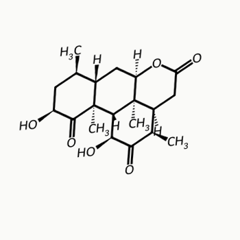 C[C@@H]1C[C@H](O)C(=O)[C@]2(C)[C@H]3[C@H](O)C(=O)[C@H](C)[C@@H]4CC(=O)O[C@H](C[C@@H]12)[C@]34C